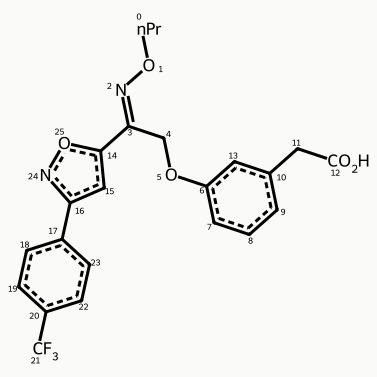 CCCO/N=C(\COc1cccc(CC(=O)O)c1)c1cc(-c2ccc(C(F)(F)F)cc2)no1